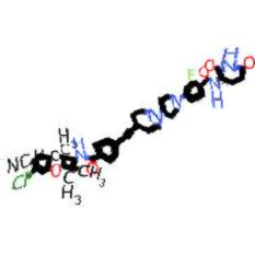 CC1(C)[C@H](NC(=O)c2ccc(C#CC3CCN(C4CCN(c5ccc(C(=O)N[C@H]6CCC(=O)NC6=O)c(F)c5)CC4)CC3)cc2)C(C)(C)[C@H]1Oc1ccc(C#N)c(Cl)c1